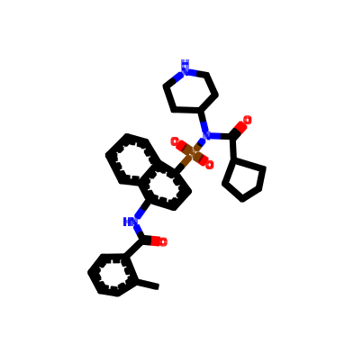 Cc1ccccc1C(=O)Nc1ccc(S(=O)(=O)N(C(=O)C2CCCC2)C2CCNCC2)c2ccccc12